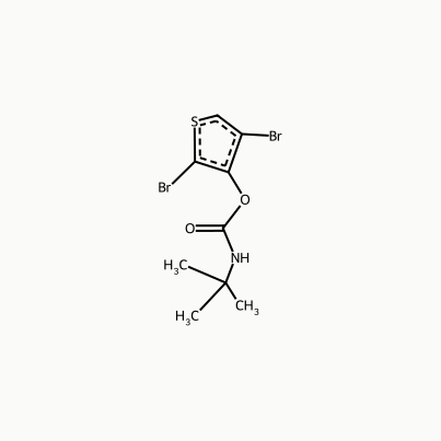 CC(C)(C)NC(=O)Oc1c(Br)csc1Br